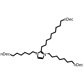 CCCCCCCCCCCCCCCCCCCc1n(CCCCCCCCCCCCCCCC)cc[n+]1CCCCCCCCCCCCCCCCC